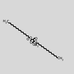 CCCCCCCCCCCCCCCCCC(=O)OC1=C(C)OCC(OC(=O)CCCCCCCCCCCCCCCCC)C1C=O